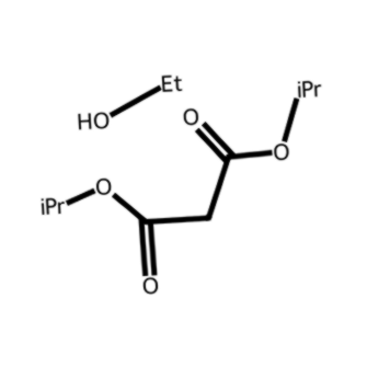 CC(C)OC(=O)CC(=O)OC(C)C.CCO